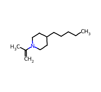 C=C(C)N1CCC(CCCCC)CC1